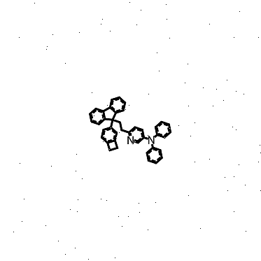 c1ccc(N(c2ccccc2)c2ccc(CCC3(c4ccc5c(c4)CC5)c4ccccc4-c4ccccc43)nc2)cc1